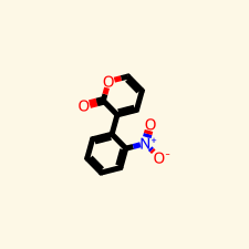 O=c1occcc1-c1ccccc1[N+](=O)[O-]